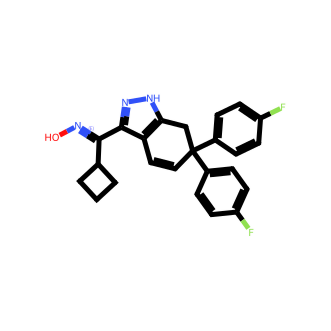 O/N=C(/c1n[nH]c2c1C=CC(c1ccc(F)cc1)(c1ccc(F)cc1)C2)C1CCC1